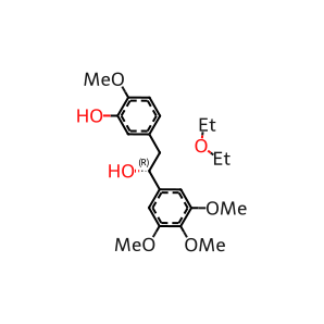 CCOCC.COc1ccc(C[C@@H](O)c2cc(OC)c(OC)c(OC)c2)cc1O